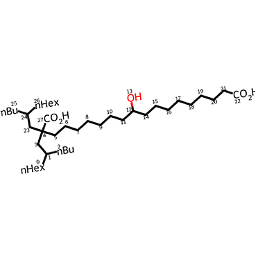 CCCCCCC(CCCC)CC(CCCCCCCC(O)CCCCCCCCC(=O)O)(CC(CCCC)CCCCCC)C(=O)O